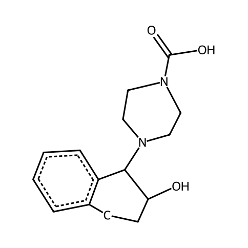 O=C(O)N1CCN(C2c3ccccc3CCC2O)CC1